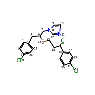 Clc1ccc(CC(Cn2ccnc2)SCCC(Cl)c2ccc(Cl)cc2)cc1